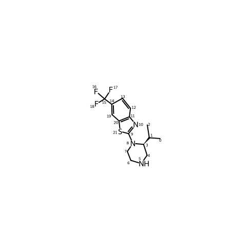 CC(C)[C@H]1CNCCN1c1nc2ccc(C(F)(F)F)cc2s1